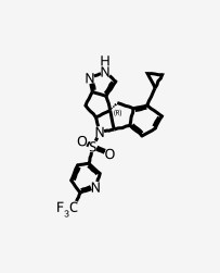 O=S(=O)(c1ccc(C(F)(F)F)nc1)N1C2Cc3n[nH]cc3[C@]23Cc2c(C4CC4)cccc2C13